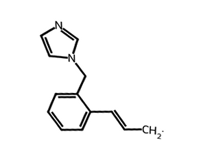 [CH2]/C=C/c1ccccc1Cn1ccnc1